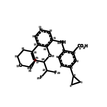 O=C(O)c1cc(C2CC2)ccc1Nc1cncc(C2=CCOCC2)c1OC(CF)C(F)F